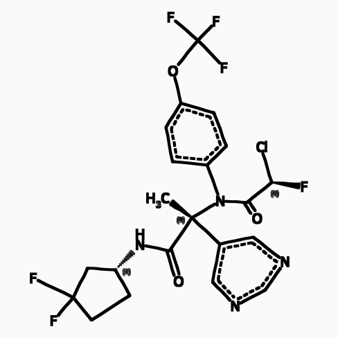 C[C@](C(=O)N[C@@H]1CCC(F)(F)C1)(c1cncnc1)N(C(=O)[C@H](F)Cl)c1ccc(OC(F)(F)F)cc1